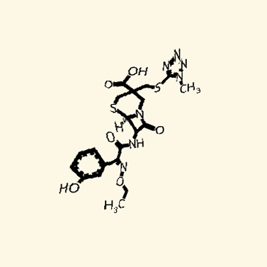 CCON=C(C(=O)NC1C(=O)N2CC(CSc3nnnn3C)(C(=O)O)CS[C@H]12)c1cccc(O)c1